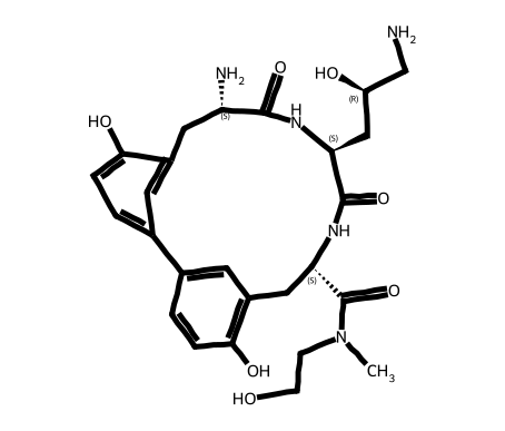 CN(CCO)C(=O)[C@@H]1Cc2cc(ccc2O)-c2ccc(O)c(c2)C[C@H](N)C(=O)N[C@@H](C[C@@H](O)CN)C(=O)N1